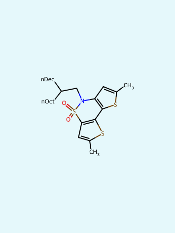 CCCCCCCCCCC(CCCCCCCC)CN1c2cc(C)sc2-c2sc(C)cc2S1(=O)=O